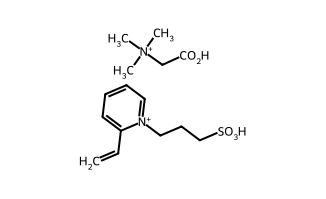 C=Cc1cccc[n+]1CCCS(=O)(=O)O.C[N+](C)(C)CC(=O)O